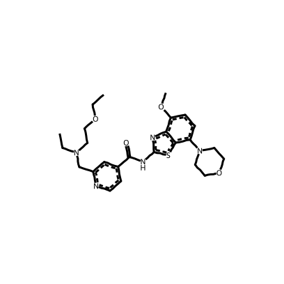 CCOCCN(CC)Cc1cc(C(=O)Nc2nc3c(OC)ccc(N4CCOCC4)c3s2)ccn1